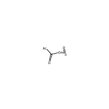 CC(=O)OC(=O)C(C)=O.[O]=[Ti]